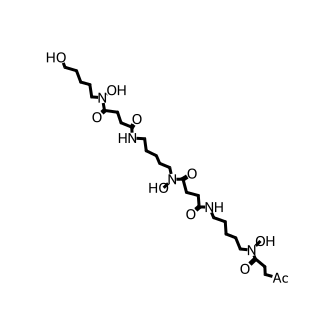 CC(=O)CCC(=O)N(O)CCCCCNC(=O)CCC(=O)N(O)CCCCCNC(=O)CCC(=O)N(O)CCCCCO